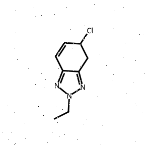 CCn1nc2c(n1)CC(Cl)C=C2